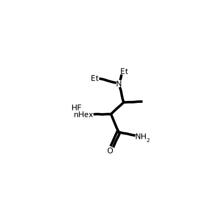 CCCCCCC(C(N)=O)C(C)N(CC)CC.F